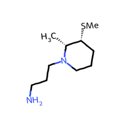 CS[C@@H]1CCCN(CCCN)[C@@H]1C